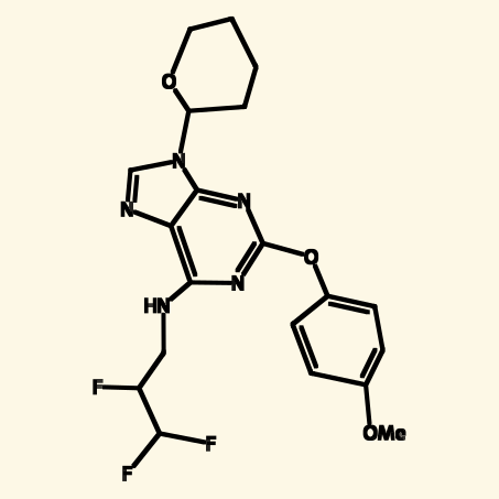 COc1ccc(Oc2nc(NCC(F)C(F)F)c3ncn(C4CCCCO4)c3n2)cc1